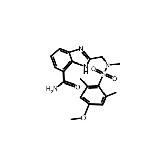 COc1cc(C)c(S(=O)(=O)N(C)Cc2nc3cccc(C(N)=O)c3[nH]2)c(C)c1